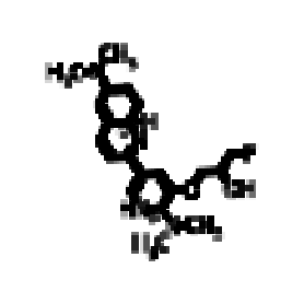 CN(C)C1=CC[C@@H]2N=C(C3=CN[C@H](N(C)C)C(OCC(O)CF)=C3)C=CC2=C1